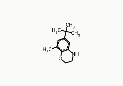 Cc1cc(C(C)(C)C)cc2c1OCCN2